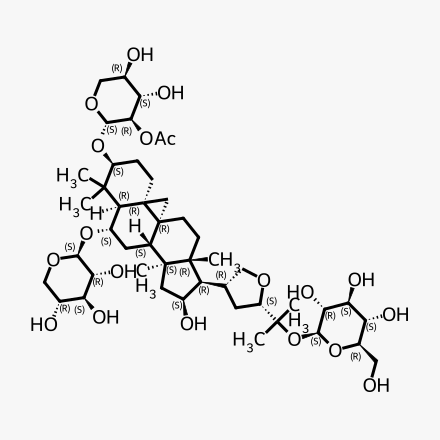 CC(=O)O[C@H]1[C@H](O[C@H]2CC[C@]34C[C@@]35CC[C@]3(C)[C@@H]([C@@H]6CO[C@H](C(C)(C)O[C@@H]7O[C@H](CO)[C@@H](O)[C@H](O)[C@H]7O)C6)[C@@H](O)C[C@@]3(C)[C@@H]5C[C@H](O[C@@H]3OC[C@@H](O)[C@H](O)[C@H]3O)[C@H]4C2(C)C)OC[C@@H](O)[C@@H]1O